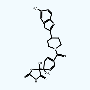 Cc1ccc2nc(C3CCN(C(=O)C4=CCC(C)([C@@]5(C)NC(=O)NC5=O)C=C4)CC3)sc2c1